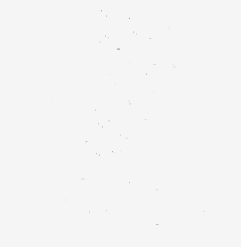 CCCCc1nn(CC(OCc2ccccc2)c2ccccc2)c(=O)n1Cc1ccc(-c2ccccc2)c(-c2nnn[nH]2)c1